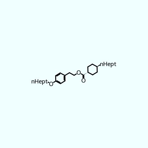 CCCCCCCOc1ccc(CCOC(=O)[C@H]2CC[C@H](CCCCCCC)CC2)cc1